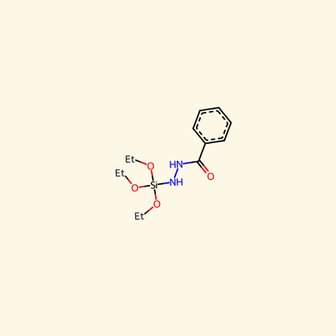 CCO[Si](NNC(=O)c1ccccc1)(OCC)OCC